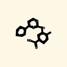 Cc1ccc(C(=O)O)cc1Nc1nccc(-c2ccccc2)n1